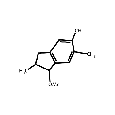 COC1c2cc(C)c(C)cc2CC1C